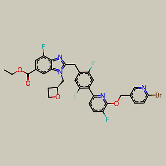 CCOC(=O)c1cc(F)c2nc(Cc3cc(F)c(-c4ccc(F)c(OCc5ccc(Br)nc5)n4)cc3F)n(C[C@@H]3CCO3)c2c1